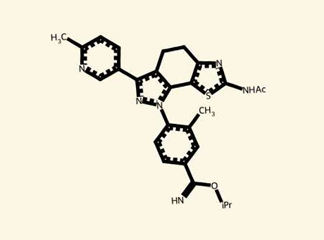 CC(=O)Nc1nc2c(s1)-c1c(c(-c3ccc(C)nc3)nn1-c1ccc(C(=N)OC(C)C)cc1C)CC2